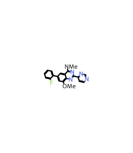 CNc1nc(-c2ccncn2)nc2c(OC)cc(-c3ccccc3F)cc12